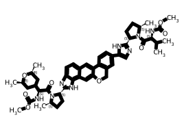 COC(=O)N[C@H](C(=O)N1[C@@H](C)CC[C@H]1c1ncc(-c2ccc3c(c2)COc2cc4c(ccc5nc([C@@H]6CC[C@H](C)N6C(=O)[C@@H](NC(=O)OC)C6C[C@@H](C)O[C@H](C)C6)[nH]c54)cc2-3)[nH]1)C(C)C